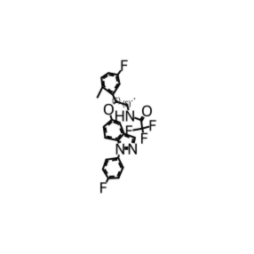 Cc1ccc(F)cc1[C@H](Oc1ccc2c(cnn2-c2ccc(F)cc2)c1)[C@H](C)NC(=O)C(F)(F)F